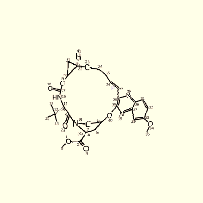 COC(=O)[C@@H]1CC2CN1C(=O)[C@H](C(C)(C)C)NC(=O)OC1C[C@H]1CCC/C=C/c1nc3ccc(OC)cc3nc1O2